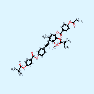 C=CC(=O)Oc1ccc(C(=O)Oc2cc(C)c(C#Cc3ccc(OC(=O)c4ccc(OC(=O)C(=C)C)cc4)cc3)c(OC)c2OC(=O)C(=C)C)cc1